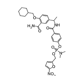 CC(NC(=O)c1ccc(OP(=O)(OCc2ccc([N+](=O)[O-])o2)N(C)C)cc1)c1ccc(OCC2CCCCC2)c(C(N)=O)c1